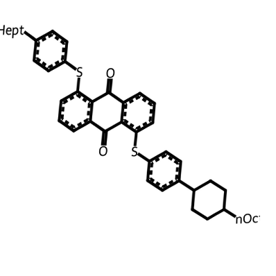 CCCCCCCCC1CCC(c2ccc(Sc3cccc4c3C(=O)c3cccc(Sc5ccc(CCCCCCC)cc5)c3C4=O)cc2)CC1